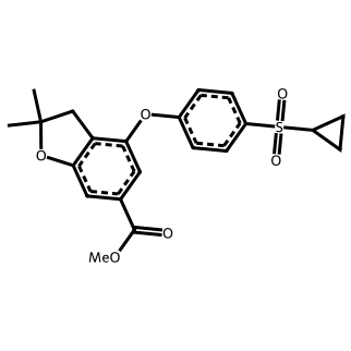 COC(=O)c1cc(Oc2ccc(S(=O)(=O)C3CC3)cc2)c2c(c1)OC(C)(C)C2